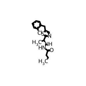 CCCC(=O)NNC(C)c1ncc(Cc2ccccc2Cl)s1